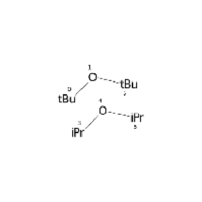 CC(C)(C)OC(C)(C)C.CC(C)OC(C)C